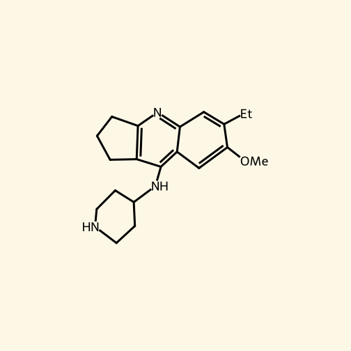 CCc1cc2nc3c(c(NC4CCNCC4)c2cc1OC)CCC3